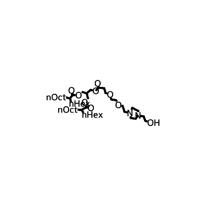 CCCCCCCCC(CCCCCC)C(=O)OCC(COC(=O)CCOCCOCCN1CCN(CCO)CC1)COC(=O)C(CCCCCC)CCCCCCCC